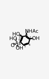 CC(=O)Nc1c(O)ccc([As](=O)(O)O)c1O